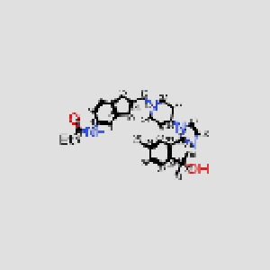 CCC(=O)Nc1ccc2c(c1)C[C@H](CN1CCC(n3ccnc3-c3cc(C)ccc3C(C)(C)O)CC1)C2